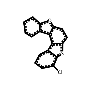 Clc1cccc2c1sc1ccc3oc4ccccc4c3c12